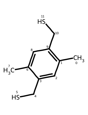 Cc1cc(CS)c(C)cc1CS